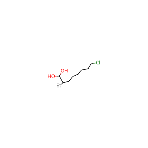 CCC(CCCCCCCl)C(O)O